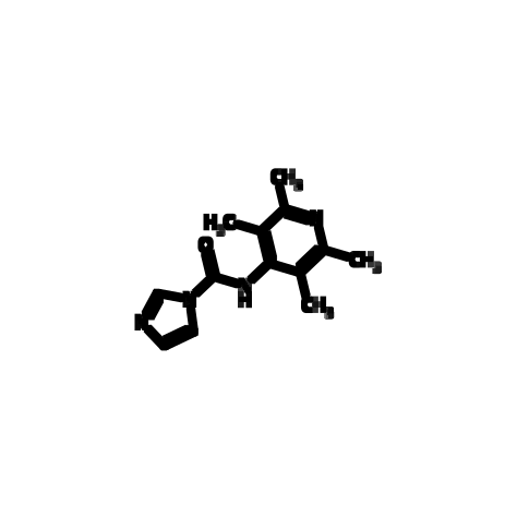 Cc1nc(C)c(C)c(NC(=O)n2ccnc2)c1C